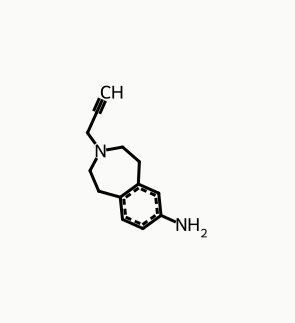 C#CCN1CCc2ccc(N)cc2CC1